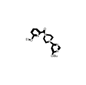 CCOc1cccc(C(=O)N2CCN(c3cc(OCC(C)C)ncn3)CC2)n1